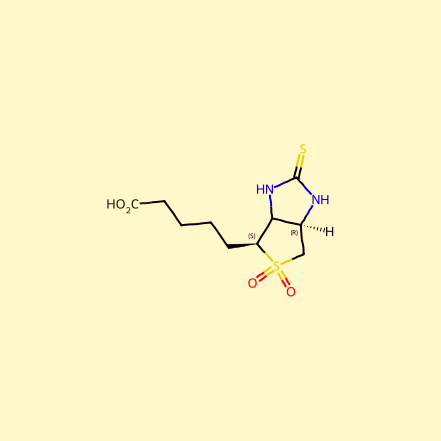 O=C(O)CCCC[C@H]1C2NC(=S)N[C@H]2CS1(=O)=O